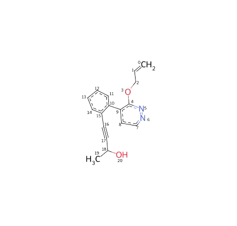 C=CCOc1nnccc1-c1ccccc1C#CC(C)O